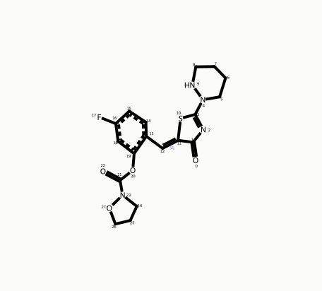 O=C1N=C(N2CCCCN2)S/C1=C\c1ccc(F)cc1OC(=O)N1CCCO1